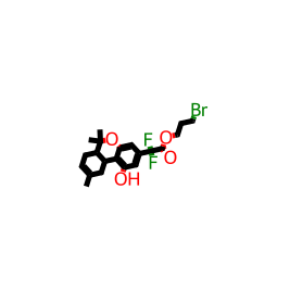 CC1=CCC2C(C1)c1c(O)cc(C(F)(F)C(=O)OCCCBr)cc1OC2(C)C